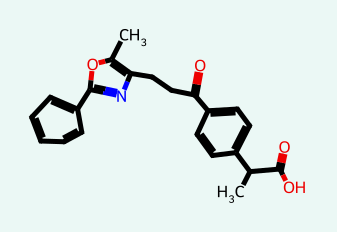 Cc1oc(-c2ccccc2)nc1CCC(=O)c1ccc(C(C)C(=O)O)cc1